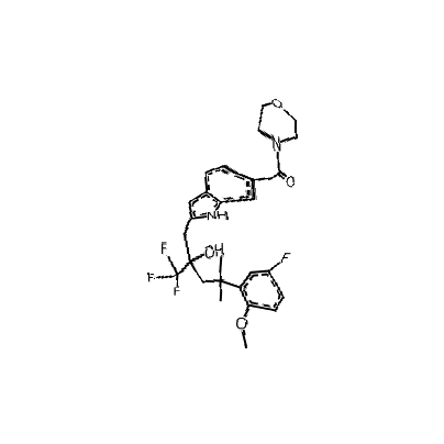 COc1ccc(F)cc1C(C)(C)CC(O)(Cc1cc2ccc(C(=O)N3CCOCC3)cc2[nH]1)C(F)(F)F